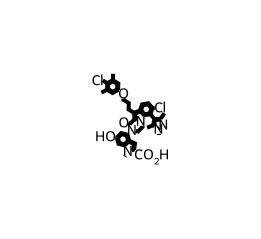 Cc1cc(OCCCc2c3n(c4c(-c5c(C)nn(C)c5C)c(Cl)ccc24)CCN(c2cc(O)cc4c2cc(C(=O)O)n4C)C3=O)cc(C)c1Cl